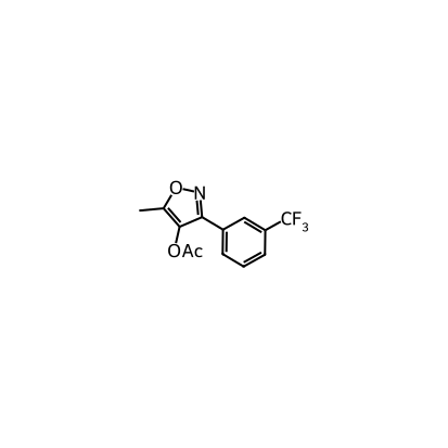 CC(=O)Oc1c(-c2cccc(C(F)(F)F)c2)noc1C